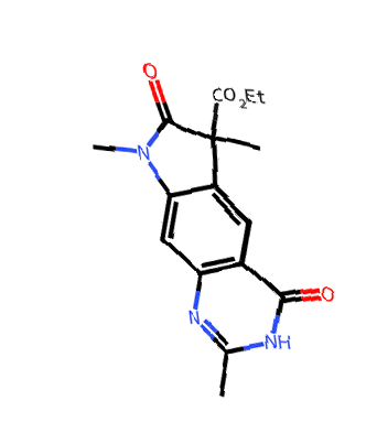 CCOC(=O)C1(C)C(=O)N(C)c2cc3nc(C)[nH]c(=O)c3cc21